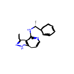 Cc1n[nH]c2ccnc(N[C@H](C)C3C=CC=CC3)c12